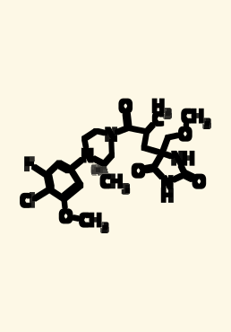 COCC1(CC(C)C(=O)N2CCN(c3cc(F)c(Cl)c(OC)c3)[C@@H](C)C2)NC(=O)NC1=O